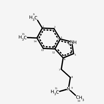 Cc1cc2[nH]cc(CCN(C)C)c2cc1C